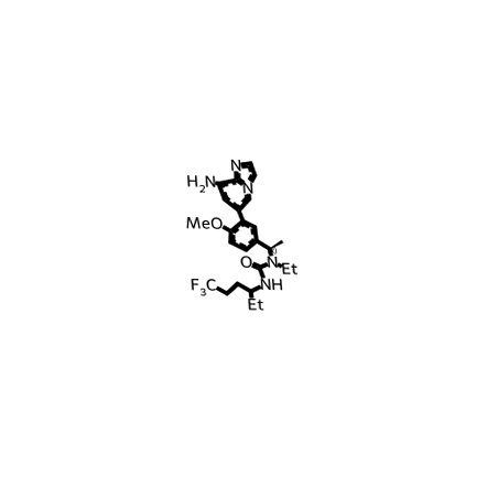 CCC(CCC(F)(F)F)NC(=O)N(CC)[C@H](C)c1ccc(OC)c(-c2cc(N)c3nccn3c2)c1